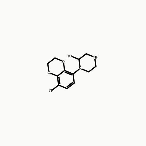 OC1CNCCN1c1ccc(Cl)c2c1OCCO2